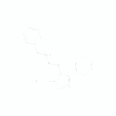 CCOC(=O)c1cnn(C2CCOCC2)c1NC(=S)NC(=O)c1ccccc1